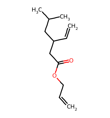 C=CCOC(=O)CC(C=C)CC(C)C